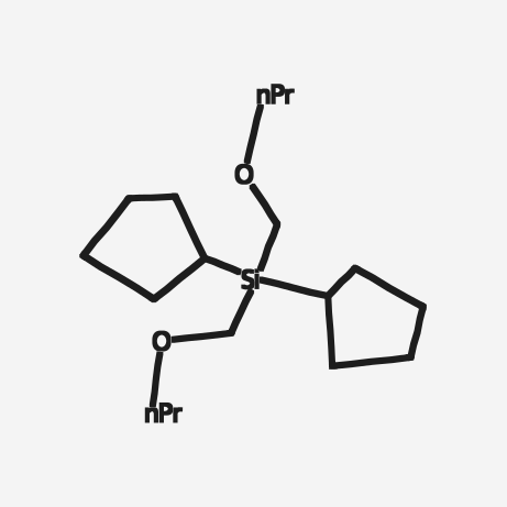 CCCOC[Si](COCCC)(C1CCCC1)C1CCCC1